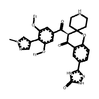 CCOc1cc(C(=O)[C@@H]2C(=O)c3cc(-c4n[nH]c(=O)[nH]4)ccc3OC23CCNCC3)cc(OCC)c1-c1cnn(C)c1